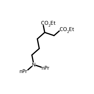 CCCN(CCC)CCCC(CC(=O)OCC)C(=O)OCC